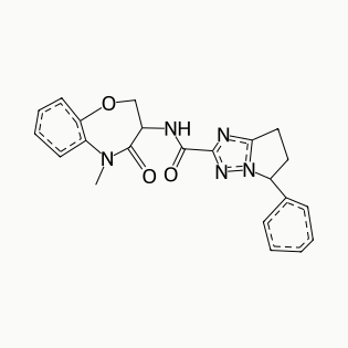 CN1C(=O)C(NC(=O)c2nc3n(n2)C(c2ccccc2)CC3)COc2ccccc21